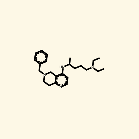 CCN(CC)CCCC(C)Nc1ccnc2c1CN(Cc1ccccc1)CC2